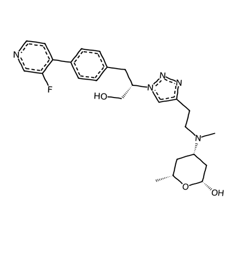 C[C@@H]1C[C@H](N(C)CCc2cn([C@H](CO)Cc3ccc(-c4ccncc4F)cc3)nn2)C[C@H](O)O1